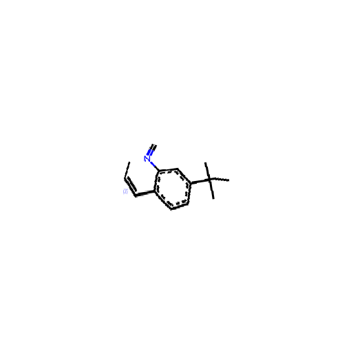 C=Nc1cc(C(C)(C)C)ccc1/C=C\C